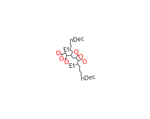 CCCCCCCCCCCCCCC(CC1C(=O)OC(=O)C1C(CC)CCCCCCCCCCCCCC)C1C(=O)OC(=O)C1CC